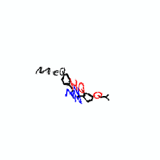 COc1ccc(-c2ncnc(-c3ccc(OC=C(C)C)cc3O)n2)cc1